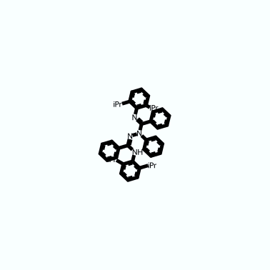 CC(C)c1cccc(C(C)C)c1N=C(c1ccccc1)N(N=C(Nc1c(C(C)C)cccc1C(C)C)c1ccccc1)c1ccccc1